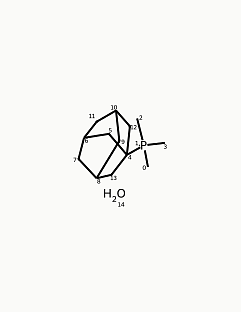 C[P](C)(C)C12CC3CC(CC(C3)C1)C2.O